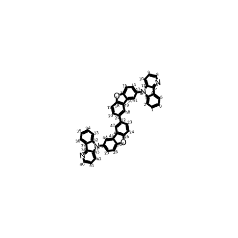 c1ccc2c(c1)c1ncccc1n2-c1ccc2oc3ccc(-c4ccc5oc6ccc(-n7c8ccccc8c8ncccc87)cc6c5c4)cc3c2c1